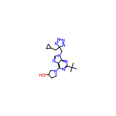 CC(C)(C)c1nc(N2CCC(O)C2)c2ncn(CC3(CC4CC4)N=NN=N3)c2n1